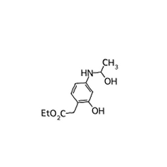 CCOC(=O)Cc1ccc(NC(C)O)cc1O